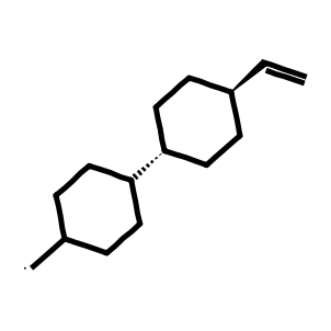 [CH2]C1CCC([C@H]2CC[C@H](C=C)CC2)CC1